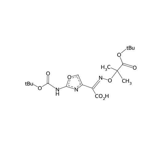 CC(C)(C)OC(=O)Nc1nc(/C(=N/OC(C)(C)C(=O)OC(C)(C)C)C(=O)O)co1